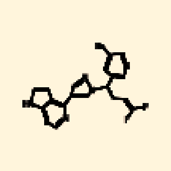 FC(F)=CCC(c1cncc(Br)c1)n1cc(-c2ncnc3[nH]ccc23)cn1